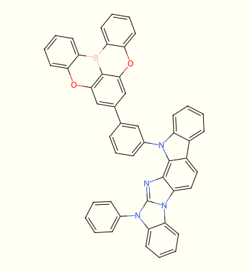 c1ccc(-n2c3ccccc3n3c4ccc5c6ccccc6n(-c6cccc(-c7cc8c9c(c7)Oc7ccccc7B9c7ccccc7O8)c6)c5c4nc23)cc1